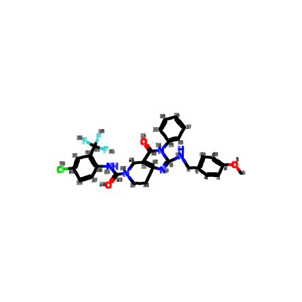 COc1ccc(CNc2nc3c(c(=O)n2-c2ccccc2)CN(C(=O)Nc2ccc(Cl)cc2C(F)(F)F)CC3)cc1